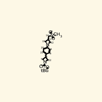 CC(C)(C)OC(=O)N1CC(c2ccc(N3CC(CS(C)(=O)=O)C3)cc2)C1